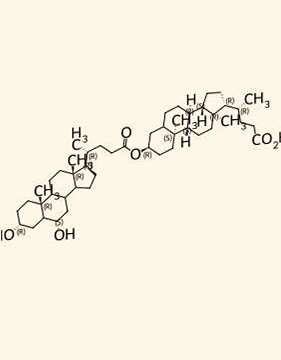 C[C@H](CCC(=O)O)[C@H]1CC[C@H]2[C@@H]3CCC4C[C@H](OC(=O)CC[C@@H](C)[C@H]5CCC6C7C[C@H](O)C8C[C@H](O)CC[C@]8(C)C7CC[C@@]65C)CC[C@]4(C)[C@H]3CC[C@]12C